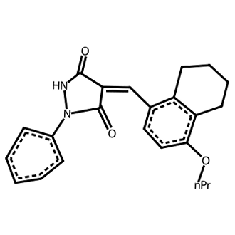 CCCOc1ccc(/C=C2/C(=O)NN(c3ccccc3)C2=O)c2c1CCCC2